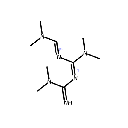 CN(C)/C=N/C(=N\C(=N)N(C)C)N(C)C